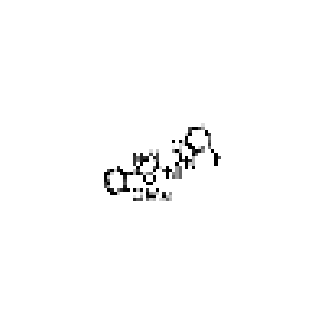 COc1ccccc1-c1nnc(Nc2nc3c(F)cccc3o2)o1